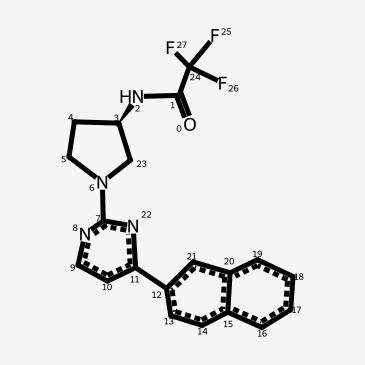 O=C(N[C@@H]1CCN(c2nccc(-c3ccc4ccccc4c3)n2)C1)C(F)(F)F